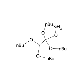 CCCCOC(OCCCC)C(O[SiH3])(OCCCC)OCCCC